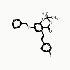 CC1(C)OC(=O)c2c(C=Cc3ccc(F)cc3)cc(OCc3ccccc3)cc2O1